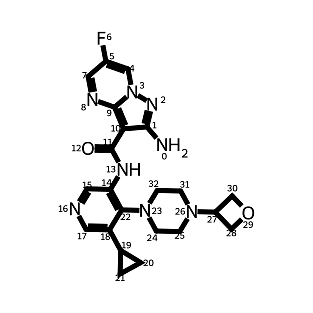 Nc1nn2cc(F)cnc2c1C(=O)Nc1cncc(C2CC2)c1N1CCN(C2COC2)CC1